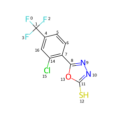 FC(F)(F)c1ccc(-c2nnc(S)o2)c(Cl)c1